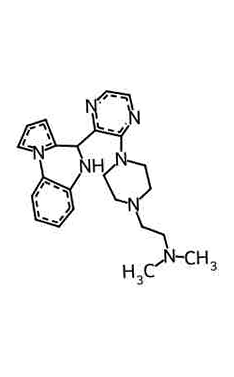 CN(C)CCN1CCN(c2nccnc2C2Nc3ccccc3-n3cccc32)CC1